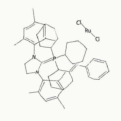 Cc1cc(C)c(N2CCN(c3c(C)cc(C)cc3C)C2=P(C2CCCCC2)(C2CCCCC2)C2CCCCC2=Cc2ccccc2)c(C)c1.[Cl][Ru][Cl]